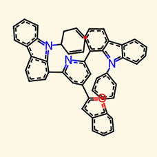 C1=CCC(n2c3ccccc3c3cccc(-c4cc(-c5cc6ccccc6o5)cc(-c5cccc6c7ccccc7n(-c7ccccc7)c56)n4)c32)C=C1